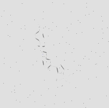 Cc1ccc(S(=O)(=O)/N=C/c2cccc(-c3ccn([Si](C(C)C)(C(C)C)C(C)C)c3)c2)cc1